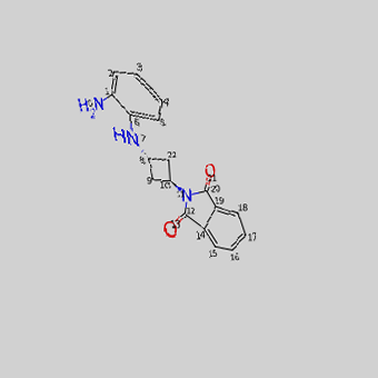 Nc1ccccc1N[C@H]1C[C@H](N2C(=O)c3ccccc3C2=O)C1